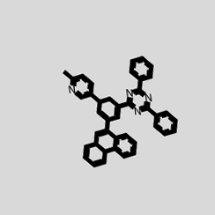 Cc1ccc(C2C=C(C3=CC4C=CC=CC4c4ccccc43)C=C(c3nc(-c4ccccc4)nc(-c4ccccc4)n3)C2)cn1